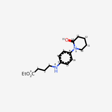 CCOC(=O)CCCNc1ccc(N2CCCCC2=O)cc1